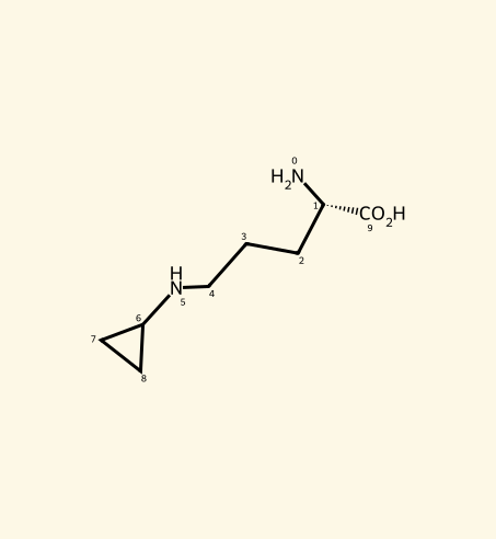 N[C@@H](CCCNC1CC1)C(=O)O